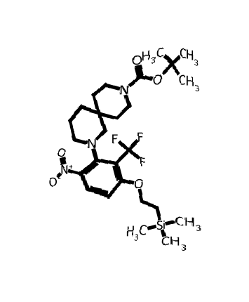 CC(C)(C)OC(=O)N1CCC2(CCCN(c3c([N+](=O)[O-])ccc(OCC[Si](C)(C)C)c3C(F)(F)F)C2)CC1